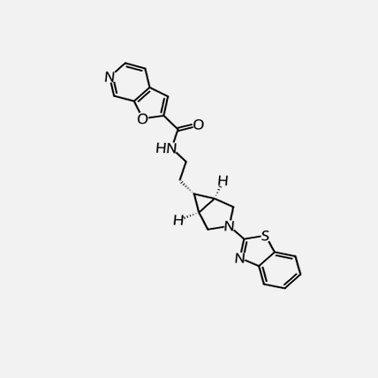 O=C(NCC[C@@H]1[C@H]2CN(c3nc4ccccc4s3)C[C@@H]12)c1cc2ccncc2o1